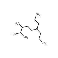 CCCN(CCC)CCC(C)C(C)C